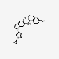 N#Cc1ccc2c(c1)CCCC2Nc1cc2c(cnn2-c2cnn(C3CC3)c2)cc1Cl